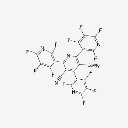 N#Cc1c(-c2c(F)nc(F)c(F)c2F)nc(-c2c(F)nc(F)c(F)c2F)c(C#N)c1-c1c(F)nc(F)c(F)c1F